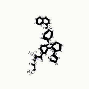 C=CC(=O)O/N=C(/C)C(=O)c1ccc2c(c1)c1c(-c3ccco3)cccc1n2-c1ccc(S(=O)(=O)c2cccc3ccccc23)cc1